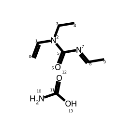 C=CN(CC)C(=O)N=CC.NC(=O)O